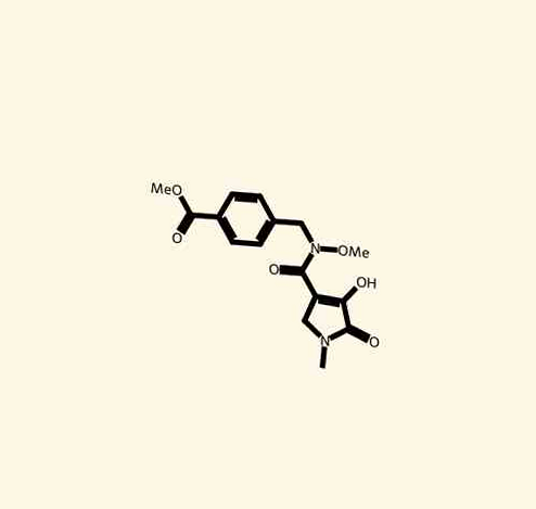 COC(=O)c1ccc(CN(OC)C(=O)C2=C(O)C(=O)N(C)C2)cc1